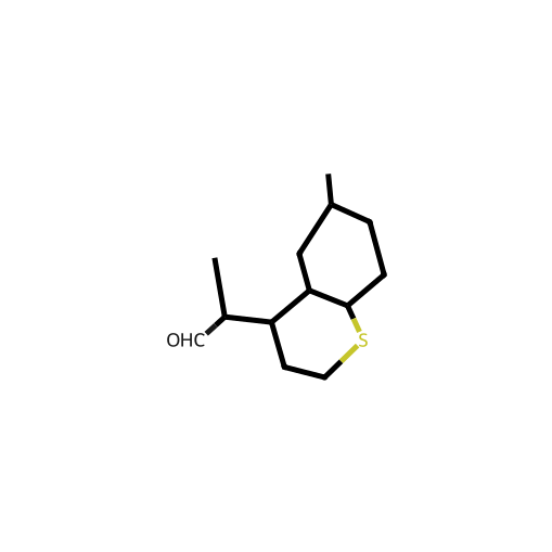 CC1CCC2SCCC(C(C)C=O)C2C1